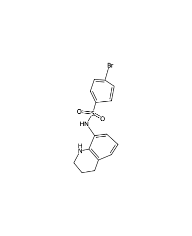 O=S(=O)(Nc1cccc2c1NCCC2)c1ccc(Br)cc1